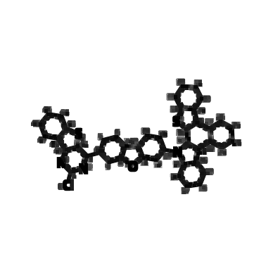 Clc1nc(-c2ccc3c(c2)oc2cc(-n4c5ccccc5c5c6ccccc6c6c7ccccc7sc6c54)ccc23)c2sc3ccccc3c2n1